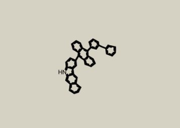 c1ccc(-c2cccc(-c3c4ccccc4c(-c4ccc5[nH]c6cc7ccccc7cc6c5c4)c4ccccc34)c2)cc1